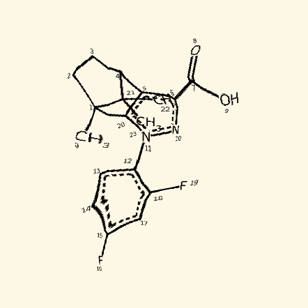 CC12CCC(c3c(C(=O)O)nn(-c4ccc(F)cc4F)c31)C2(C)C